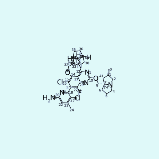 C=C1CN2CCC[C@@]2(COc2nc3c4c(c(Cl)c(-c5nc(N)cc(C)c5Cl)c(F)c4n2)OC[C@@H]2[C@@H]4CC[C@H](CN32)N4)C1